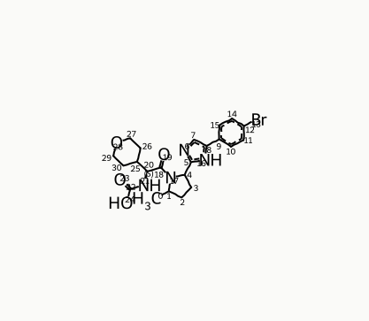 CC1CCC(c2ncc(-c3ccc(Br)cc3)[nH]2)N1C(=O)[C@@H](NC(=O)O)C1CCOCC1